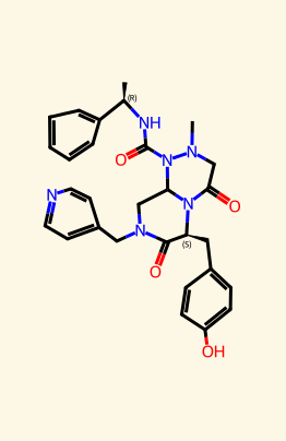 C[C@@H](NC(=O)N1C2CN(Cc3ccncc3)C(=O)[C@H](Cc3ccc(O)cc3)N2C(=O)CN1C)c1ccccc1